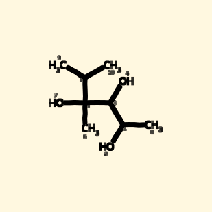 CC(O)C(O)C(C)(O)C(C)C